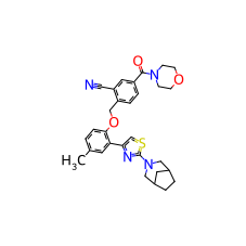 Cc1ccc(OCc2ccc(C(=O)N3CCOCC3)cc2C#N)c(-c2csc(N3CC4CCC(C4)C3)n2)c1